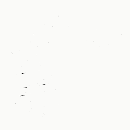 CN(C)c1cc(NC(=O)CN(C(=O)OCOC(=O)c2ccc(C(C)(C)C)cc2)C(C)(C)C)c(O)c2c1C[C@H]1C[C@H]3[C@H](N(C)C)C(O)=C(C(N)=O)C(=O)[C@@]3(O)C(O)=C1C2=O